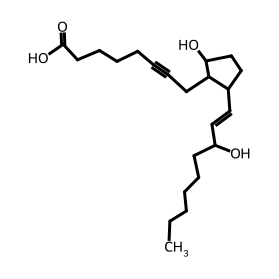 CCCCCCC(O)/C=C/C1CCC(O)C1CC#CCCCCC(=O)O